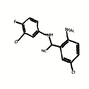 CC(=O)Nc1ccc(Cl)cc1C(C#N)Nc1ccc(F)c(Cl)c1